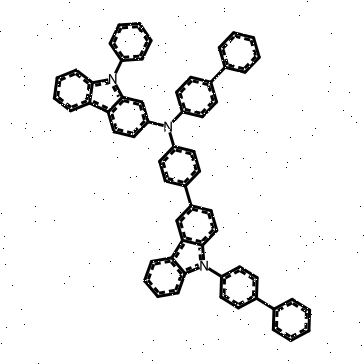 c1ccc(-c2ccc(N(c3ccc(-c4ccc5c(c4)c4ccccc4n5-c4ccc(-c5ccccc5)cc4)cc3)c3ccc4c5ccccc5n(-c5ccccc5)c4c3)cc2)cc1